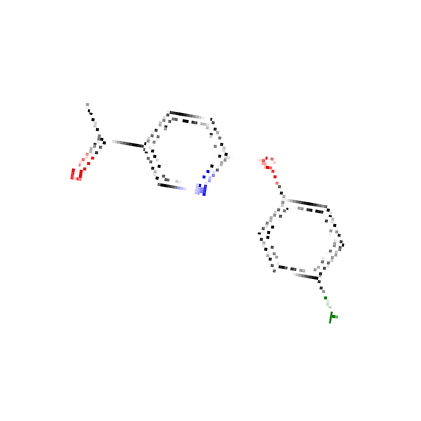 CC(=O)c1ccc(Oc2ccc(F)cc2)nc1